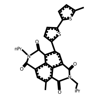 CCCN1C(=O)c2cc(C)c3c4c(cc(-c5ccc(-c6ccc(C)s6)s5)c(c24)C1=O)C(=O)N(CC(C)C)C3=O